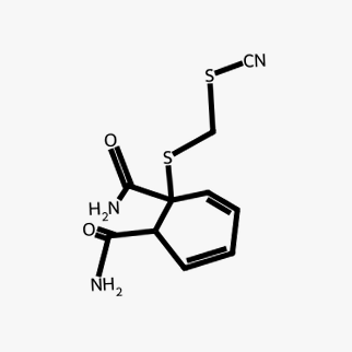 N#CSCSC1(C(N)=O)C=CC=CC1C(N)=O